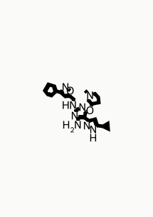 CN1CCCC(Oc2nc(NCc3cc(-c4ccccc4)no3)nc(N)c2-c2cc(C3CC3)[nH]n2)C1